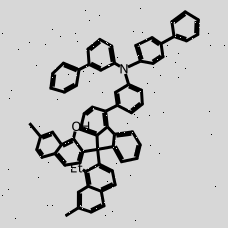 CCc1c(C2(c3ccc4ccc(C)cc4c3O)c3ccccc3-c3c(-c4cccc(N(c5ccc(-c6ccccc6)cc5)c5cccc(-c6ccccc6)c5)c4)cccc32)ccc2ccc(C)cc12